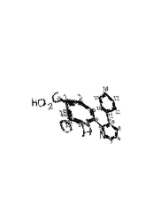 O=C(O)c1ccc(-c2ncccc2-c2ccccc2)[nH]c1=O